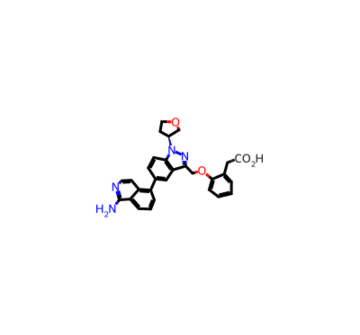 Nc1nccc2c(-c3ccc4c(c3)c(COc3ccccc3CC(=O)O)nn4[C@H]3CCOC3)cccc12